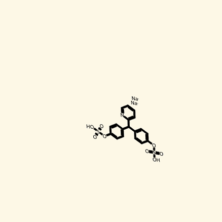 O=S(=O)(O)Oc1ccc(C(c2ccc(OS(=O)(=O)O)cc2)c2ccccn2)cc1.[Na].[Na]